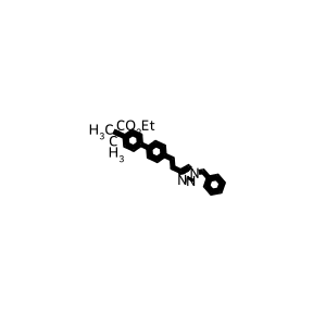 CCOC(=O)C(C)(C)c1ccc(-c2ccc(CCc3cn(Cc4ccccc4)nn3)cc2)cc1